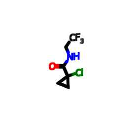 O=C(NCC(F)(F)F)C1(Cl)CC1